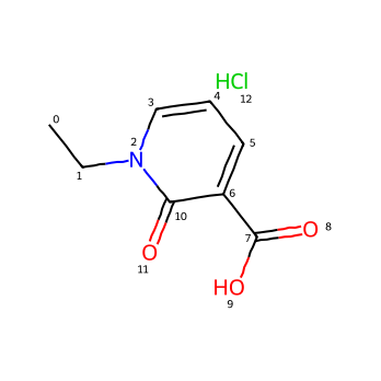 CCn1cccc(C(=O)O)c1=O.Cl